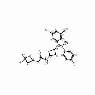 O=C(CC1CC(F)(F)C1)NC1CC(c2c(-c3ccc(F)cc3)[nH]c3c(F)cc(F)cc23)C1